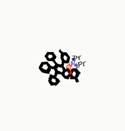 Cc1ccc([P@@](=O)(c2ccc(C)cc2-c2c(-c3ccccc3)c(-c3ccccc3)c(-c3ccccc3)c3ccccc23)N(C(C)C)C(C)C)cc1